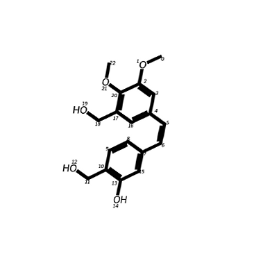 COc1cc(/C=C\c2ccc(CO)c(O)c2)cc(CO)c1OC